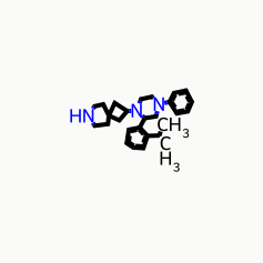 CC(C)c1ccccc1C1CN(c2ccccc2)CCN1C1CC2(CCNCC2)C1